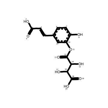 O=C(O)C=Cc1ccc(O)c(OC(=O)C(O)C(O)C(=O)O)c1